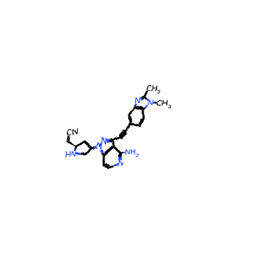 Cc1nc2cc(C#Cc3nn(C4CN[C@@H](CC#N)C4)c4ccnc(N)c34)ccc2n1C